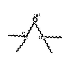 CCCCCCCCCCN(CCCCCCCCN(CCCCCCCC(=O)N(CCCCCCCCCC)CCCCCCCCCC)C1CCC(O)CC1)C(=O)CCCCCCCCC